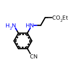 CCOC(=O)CCNc1cc(C#N)ccc1N